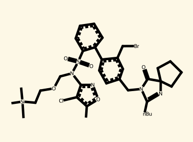 CCCCC1=NC2(CCCC2)C(=O)N1Cc1ccc(-c2ccccc2S(=O)(=O)N(COCC[Si](C)(C)C)c2noc(C)c2Cl)c(CBr)c1